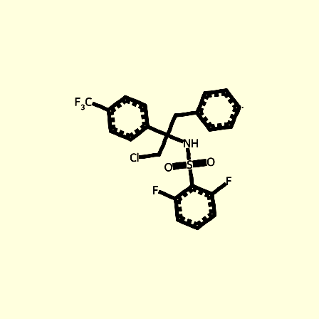 O=S(=O)(NC(CCl)(Cc1cc[c]cc1)c1ccc(C(F)(F)F)cc1)c1c(F)cccc1F